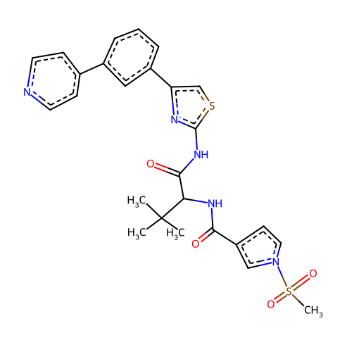 CC(C)(C)C(NC(=O)c1ccn(S(C)(=O)=O)c1)C(=O)Nc1nc(-c2cccc(-c3ccncc3)c2)cs1